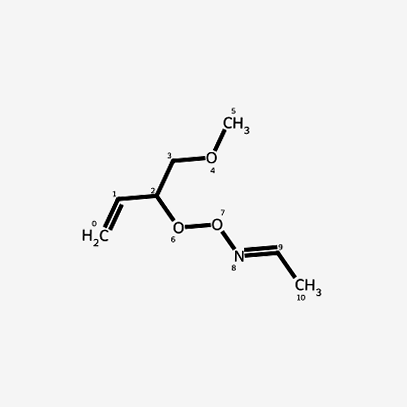 C=CC(COC)OON=CC